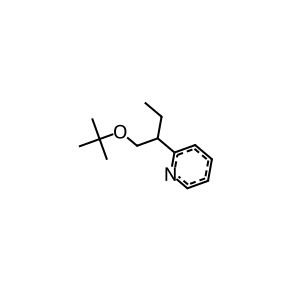 CCC(COC(C)(C)C)c1ccccn1